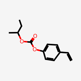 C=Cc1ccc(OC(=O)OC(C)CC)cc1